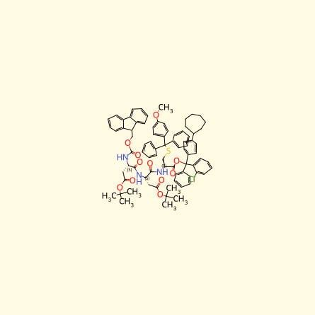 COc1ccc(C(SC[C@H](NC(=O)[C@H](CC(=O)OC(C)(C)C)NC(=O)[C@H](CC(=O)OC(C)(C)C)NC(=O)OCC2c3ccccc3-c3ccccc32)C(=O)OC(c2ccccc2)(c2ccc(C3CCCCCC3)cc2)c2ccccc2Cl)(c2ccccc2)c2ccccc2)cc1